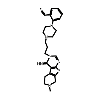 CN1CCc2c(sc3ncn(CCCN4CCN(c5ccccc5C=S)CC4)c(=N)c23)C1